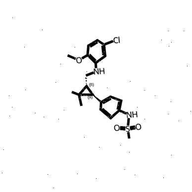 COc1ccc(Cl)cc1NC[C@@H]1[C@@H](c2ccc(NS(C)(=O)=O)cc2)C1(C)C